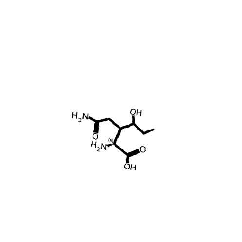 CCC(O)C(CC(N)=O)[C@H](N)C(=O)O